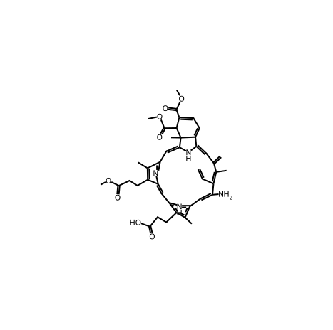 C=CC1=C(/C)C(=C)/C=C2\N/C(=C\C3=NC(=C\c4[nH]c(c(C)c4CCC(=O)O)\C=C\1N)/C(CCC(=O)OC)=C3C)C1(C)C2=CC=C(C(=O)OC)C1C(=O)OC